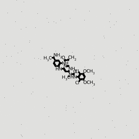 C=CC(=O)Nc1cc(C(C)N)ccc1NC1=CC(N(C)C(=O)Nc2c(Cl)c(OC)cc(OC)c2Cl)NC=N1